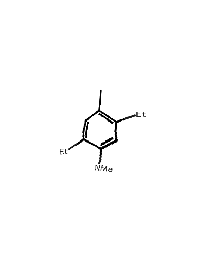 CCc1cc(NC)c(CC)cc1C